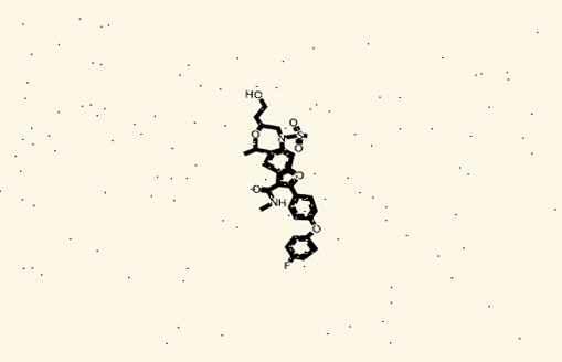 CNC(=O)c1c(-c2ccc(Oc3ccc(F)cc3)cc2)oc2cc3c(cc12)C(C)OC(CCO)CN3S(C)(=O)=O